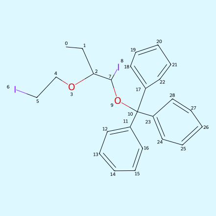 CCC(OCCI)C(I)OC(c1ccccc1)(c1ccccc1)c1ccccc1